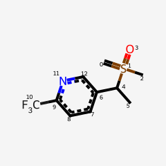 C=S(C)(=O)C(C)c1ccc(C(F)(F)F)nc1